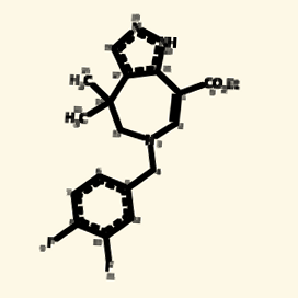 CCOC(=O)C1=CN(Cc2ccc(F)c(F)c2)CC(C)(C)c2cn[nH]c21